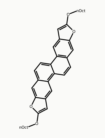 CCCCCCCCOc1cc2cc3c(ccc4c5cc6cc(OCCCCCCCC)oc6cc5ccc34)cc2o1